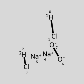 [2H]Cl.[2H]Cl.[Na+].[Na+].[O-][O-]